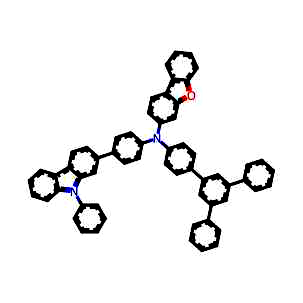 c1ccc(-c2cc(-c3ccccc3)cc(-c3ccc(N(c4ccc(-c5ccc6c7ccccc7n(-c7ccccc7)c6c5)cc4)c4ccc5c(c4)oc4ccccc45)cc3)c2)cc1